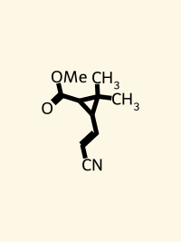 COC(=O)C1C(C=CC#N)C1(C)C